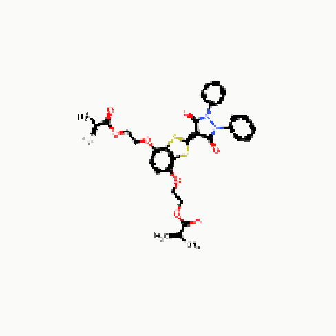 C=C(C)C(=O)OCCOc1ccc(OCCOC(=O)C(=C)C)c2c1SC(=C1C(=O)N(c3ccccc3)N(c3ccccc3)C1=O)S2